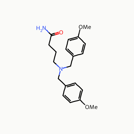 COc1ccc(CN(CCCC(N)=O)Cc2ccc(OC)cc2)cc1